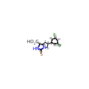 O=C(O)c1[nH]c(=S)n2c1CC(c1cc(F)cc(F)c1)C2